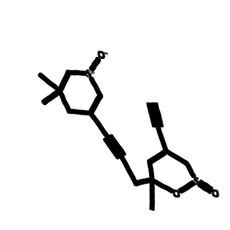 C#CC1CS(=O)OC(C)(CC#CC2C[S+]([O-])CC(C)(C)C2)C1